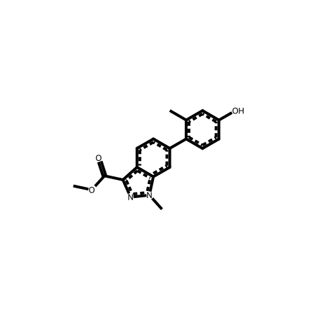 COC(=O)c1nn(C)c2cc(-c3ccc(O)cc3C)ccc12